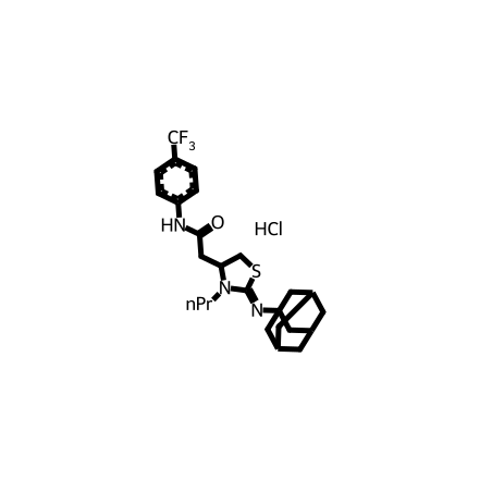 CCCN1/C(=N/C23CC4CC(CC(C4)C2)C3)SCC1CC(=O)Nc1ccc(C(F)(F)F)cc1.Cl